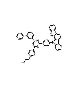 CCCCc1ccc(-c2nc(-c3ccc(-n4c5ccccc5c5ccc6c7ccccc7oc6c54)cc3)nc(-c3cccc(-c4ccccc4)c3)n2)cc1